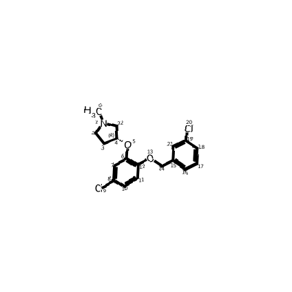 CN1CC[C@@H](Oc2cc(Cl)ccc2OCc2cccc(Cl)c2)C1